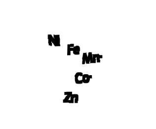 [Co].[Fe].[Mn].[Ni].[Zn]